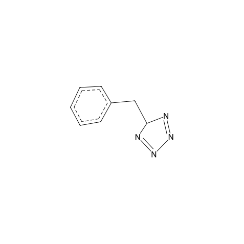 c1ccc(CC2N=NN=N2)cc1